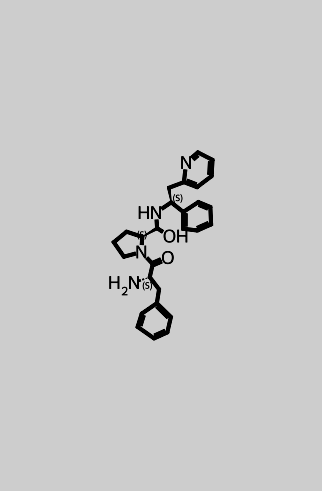 N[C@@H](Cc1ccccc1)C(=O)N1CCC[C@H]1C(O)N[C@@H](Cc1ccccn1)c1ccccc1